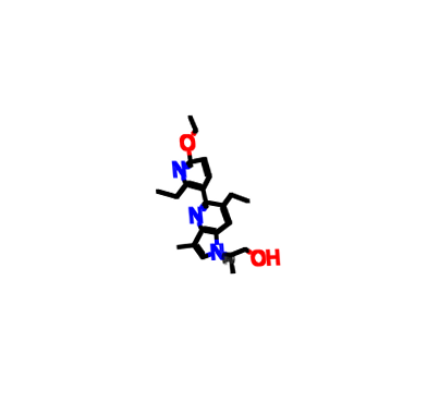 CCOc1ccc(-c2nc3c(C)cn([C@H](C)CO)c3cc2CC)c(CC)n1